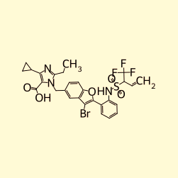 C=CC(C(F)(F)F)S(=O)(=O)Nc1ccccc1-c1oc2ccc(Cn3c(CC)nc(C4CC4)c3C(=O)O)cc2c1Br